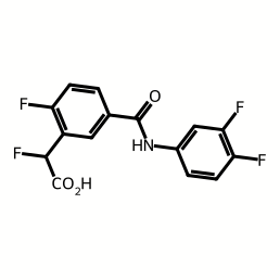 O=C(Nc1ccc(F)c(F)c1)c1ccc(F)c(C(F)C(=O)O)c1